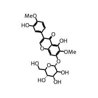 COc1ccc(-c2coc3cc(O[C@@H]4OC(CO)[C@@H](O)[C@H](O)C4O)c(OC)c(O)c3c2=O)cc1O